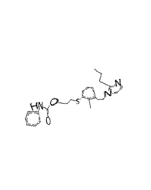 CCCc1nccn1Cc1cccc(SCCOC(=O)Nc2ccccc2)c1C